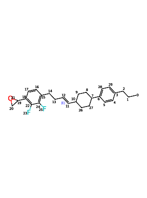 CCCc1ccc(C2CCC(/C=C/CCc3ccc(C4CO4)c(F)c3F)CC2)cc1